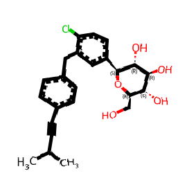 CC(C)C#Cc1ccc(Cc2cc([C@@H]3O[C@H](CO)[C@@H](O)[C@H](O)[C@H]3O)ccc2Cl)cc1